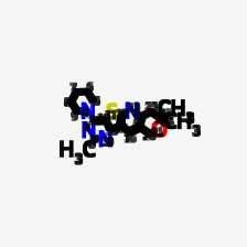 Cc1nc(N2CCCCC2)c2sc3nc4c(cc3c2n1)COC(C)(C)C4